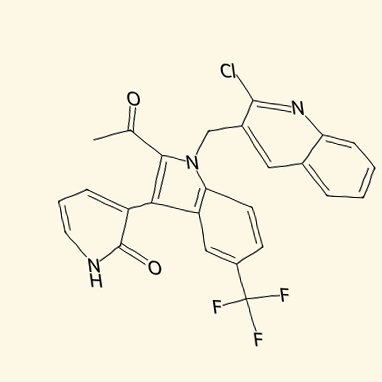 CC(=O)c1c(-c2ccc[nH]c2=O)c2cc(C(F)(F)F)ccc2n1Cc1cc2ccccc2nc1Cl